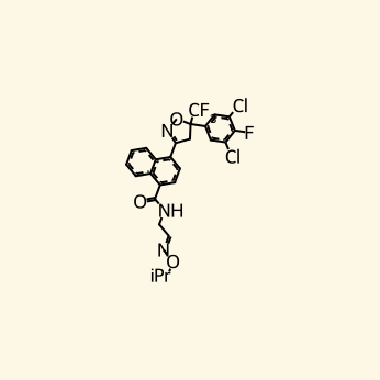 CC(C)O/N=C/CNC(=O)c1ccc(C2=NOC(c3cc(Cl)c(F)c(Cl)c3)(C(F)(F)F)C2)c2ccccc12